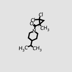 CC(C)C1CCN(C(=O)[C@@]2(C)CC2(Cl)Cl)CC1